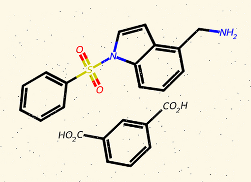 NCc1cccc2c1ccn2S(=O)(=O)c1ccccc1.O=C(O)c1cccc(C(=O)O)c1